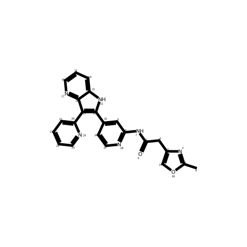 Cc1nc(CC(=O)Nc2cc(-c3[nH]c4cccnc4c3-c3ccccn3)ccn2)co1